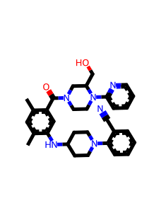 Cc1cc(C)c(C(=O)N2CCN(c3ccccn3)C(CO)C2)cc1NC1CCN(c2ccccc2C#N)CC1